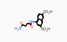 NC(=O)CCC(=O)Nc1cc(S(=O)(=O)O)cc2cc(S(=O)(=O)O)ccc12